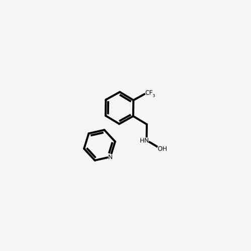 ONCc1ccccc1C(F)(F)F.c1ccncc1